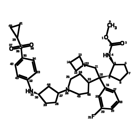 COC(=O)N[C@H]1CCC[C@@H]1C(CN1CCC1)(c1cccc(F)c1)C1CCN(C2CC[C@H](Nc3ccc(S(=O)(=O)C4CC4)cc3)C2)CC1